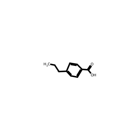 CC[CH]c1ccc(C(=O)O)cc1